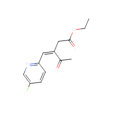 CCOC(=O)CC(=Cc1ccc(F)cn1)C(C)=O